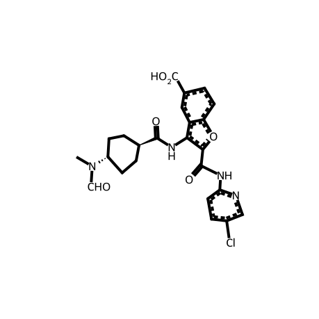 CN(C=O)[C@H]1CC[C@H](C(=O)Nc2c(C(=O)Nc3ccc(Cl)cn3)oc3ccc(C(=O)O)cc23)CC1